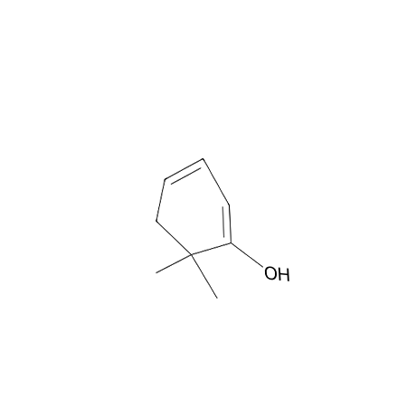 CC1(C)CC=CC=C1O